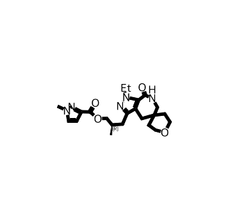 CCn1nc(C[C@@H](C)COC(=O)c2ccn(C)n2)c2c1C(=O)NCC1(CCOCC1)C2